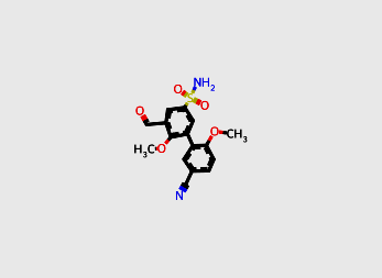 COc1ccc(C#N)cc1-c1cc(S(N)(=O)=O)cc(C=O)c1OC